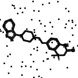 CC1(C)CC(=O)Nc2ccc(CCN3CCN(c4nsc5ccccc45)CC3)cc21